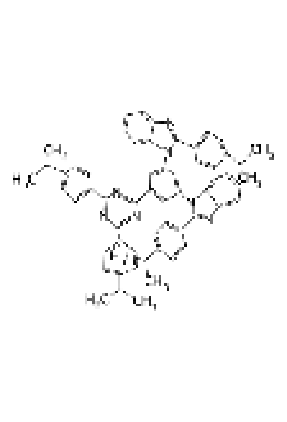 CC(C)c1ccc(-c2nc(-c3ccc(C(C)C)cc3)nc(-c3cc(-n4c(-c5ccc(C(C)C)cc5)nc5ccccc54)cc(-n4c(-c5ccc(C(C)C)cc5)nc5ccccc54)c3)n2)cc1